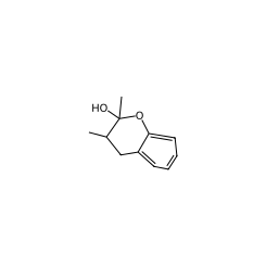 CC1Cc2ccccc2OC1(C)O